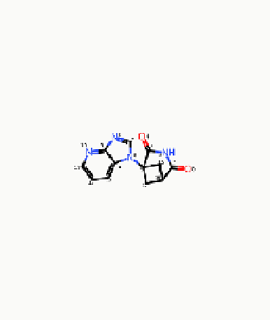 O=C1NC(=O)C2(n3cnc4ncccc43)CC1C2